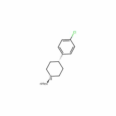 CCCCCC[Si@H]1CC[C@H](c2ccc(Cl)cc2)CC1